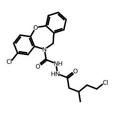 CC(CCCl)CC(=O)NNC(=O)N1Cc2ccccc2Oc2ccc(Cl)cc21